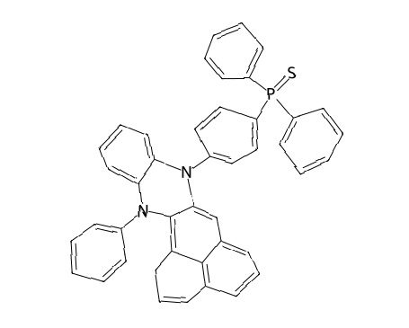 S=P(c1ccccc1)(c1ccccc1)c1ccc(N2c3ccccc3N(c3ccccc3)c3c2cc2cccc4c2c3CC=C4)cc1